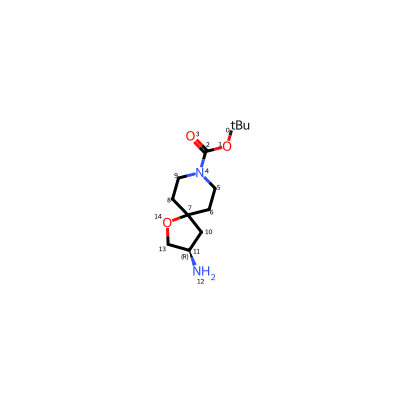 CC(C)(C)OC(=O)N1CCC2(CC1)C[C@@H](N)CO2